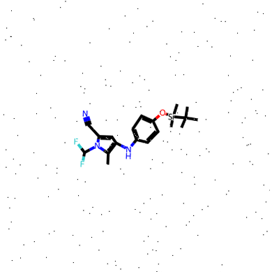 Cc1c(Nc2ccc(O[Si](C)(C)C(C)(C)C)cc2)cc(C#N)n1C(F)F